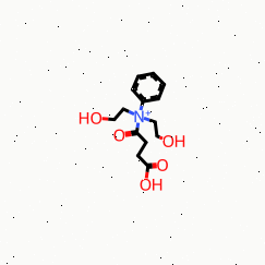 O=C(O)CCC(=O)[N+](CCO)(CCO)c1ccccc1